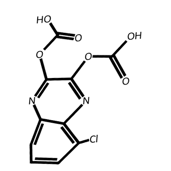 O=C(O)Oc1nc2cccc(Cl)c2nc1OC(=O)O